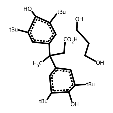 CC(C)(C)c1cc(C(C)(CC(=O)O)c2cc(C(C)(C)C)c(O)c(C(C)(C)C)c2)cc(C(C)(C)C)c1O.OCCCO